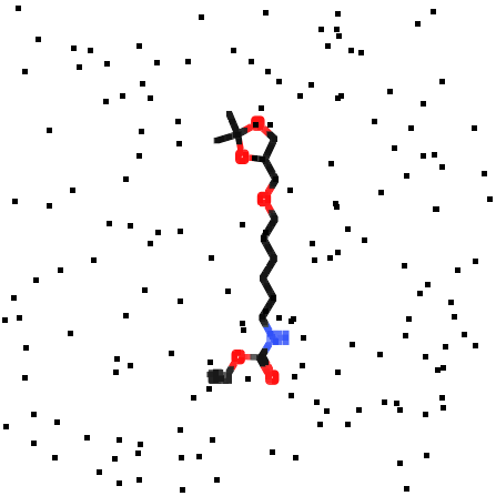 CC(C)(C)OC(=O)NCCCCCCOCC1COC(C)(C)O1